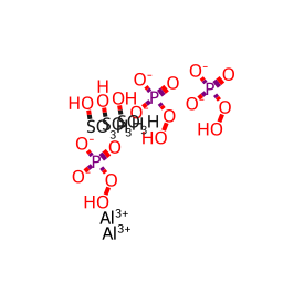 O=P([O-])([O-])OO.O=P([O-])([O-])OO.O=P([O-])([O-])OO.O=S(=O)(O)O.O=S(=O)(O)O.O=S(=O)(O)O.[Al+3].[Al+3]